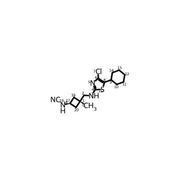 C[C@]1(CNc2nc(Cl)c(C3CCCCC3)s2)C[C@H](NC#N)C1